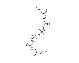 CCCCC(CC)COC(=O)OOC(C)(C)CCC(C)(C)OOC(=O)OCC(CC)CCCC